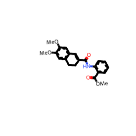 COC(=O)c1ccccc1NC(=O)C1=Cc2cc(OC)c(OC)cc2CC1